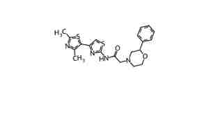 Cc1nc(C)c(-c2csc(NC(=O)CN3CCOC(c4ccccc4)C3)n2)s1